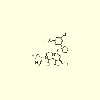 C=C1N=C(CC2(c3cc(C)cc(Cl)c3)CCCC2)N2CCN(C(C)C)C(=O)C2=C1O